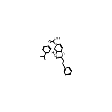 CC(C)c1cccc([C@H]2[C@@H]3ON=C(CCc4ccccc4)OC3C=CN2C(=O)O)c1